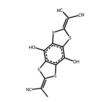 CC(C#N)=C1Sc2c(O)c3c(c(O)c2S1)SC(=C(C#N)C#N)S3